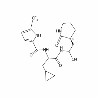 N#CC(C[C@@H]1CCCNC1=O)NC(=O)C(CC1CC1)NC(=O)c1ccc(C(F)(F)F)[nH]1